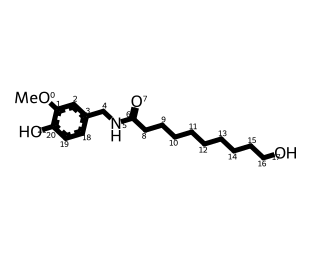 COc1cc(CNC(=O)CCCCCCCCCO)ccc1O